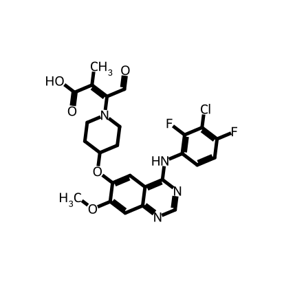 COc1cc2ncnc(Nc3ccc(F)c(Cl)c3F)c2cc1OC1CCN(/C(C=O)=C(/C)C(=O)O)CC1